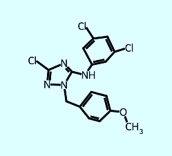 COc1ccc(Cn2nc(Cl)nc2Nc2cc(Cl)cc(Cl)c2)cc1